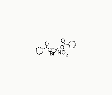 O=C(OCC(Br)(COC(=O)c1ccccc1)[N+](=O)[O-])c1ccccc1